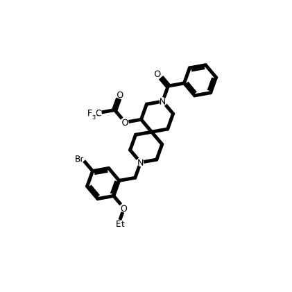 CCOc1ccc(Br)cc1CN1CCC2(CC1)CCN(C(=O)c1ccccc1)CC2OC(=O)C(F)(F)F